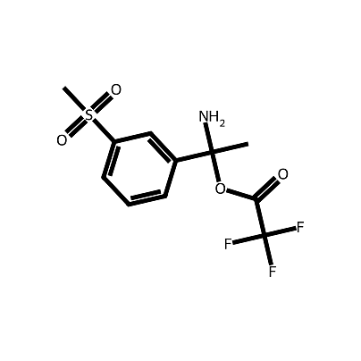 CC(N)(OC(=O)C(F)(F)F)c1cccc(S(C)(=O)=O)c1